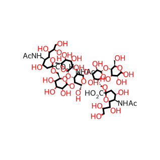 CC(=O)N[C@H]1[C@H](O[C@H]2[C@@H](O)[C@@H](CO[C@]3(C(=O)O)C[C@H](O)[C@@H](NC(C)=O)[C@H]([C@H](O)[C@H](O)CO)O3)O[C@@H](O[C@H]3[C@H](O)[C@@H](O)C(O)O[C@@H]3CO)[C@@H]2O)O[C@H](CO)[C@@H](O[C@@H]2O[C@H](CO[C@]3(C(=O)O)C[C@H](O)[C@@H](NC(C)=O)[C@H]([C@H](O)[C@H](O)CO)O3)[C@H](O)[C@H](O)[C@H]2O)[C@@H]1O[C@@H]1O[C@@H](C)[C@@H](O)[C@@H](O)[C@@H]1O